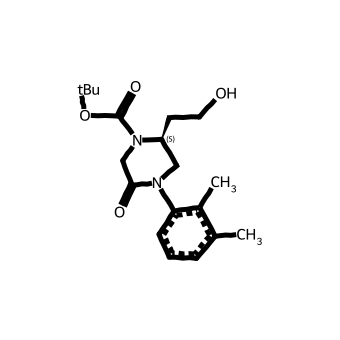 Cc1cccc(N2C[C@H](CCO)N(C(=O)OC(C)(C)C)CC2=O)c1C